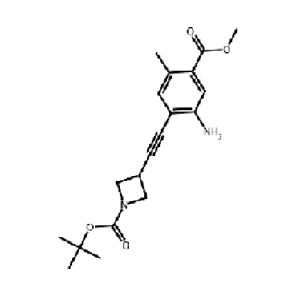 COC(=O)c1cc(N)c(C#CC2CN(C(=O)OC(C)(C)C)C2)cc1C